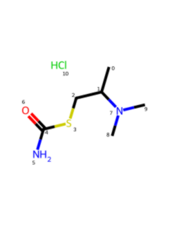 CC(CSC(N)=O)N(C)C.Cl